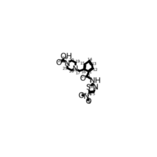 O=C(Nc1ncc([N+](=O)[O-])s1)c1ccccc1CN1CCN(C(=O)O)CC1